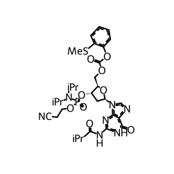 CSc1ccccc1OC(=O)OC[C@H]1O[C@@H](n2cnc3c(=O)[nH]c(NC(=O)C(C)C)nc32)C[C@@H]1OP(=O)(OCCC#N)N(C(C)C)C(C)C